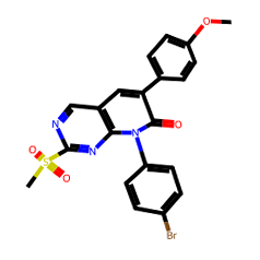 COc1ccc(-c2cc3cnc(S(C)(=O)=O)nc3n(-c3ccc(Br)cc3)c2=O)cc1